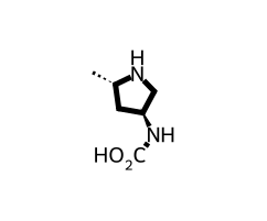 C[C@H]1C[C@H](NC(=O)O)CN1